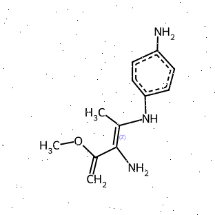 C=C(OC)/C(N)=C(\C)Nc1ccc(N)cc1